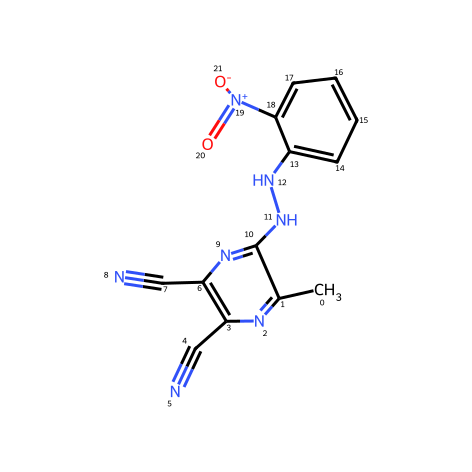 Cc1nc(C#N)c(C#N)nc1NNc1ccccc1[N+](=O)[O-]